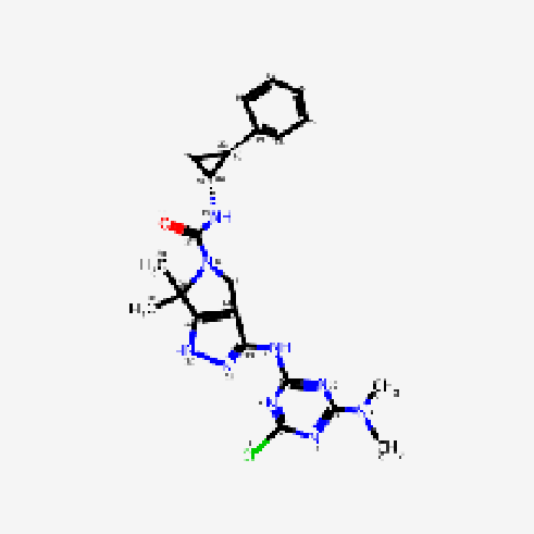 CN(C)c1nc(Cl)nc(Nc2n[nH]c3c2CN(C(=O)N[C@@H]2C[C@H]2c2ccccc2)C3(C)C)n1